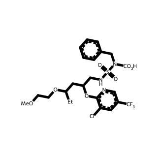 CCC(CC(CNS(=O)(=O)N(Cc1ccccc1)C(=O)O)Oc1ncc(C(F)(F)F)cc1Cl)OCCOC